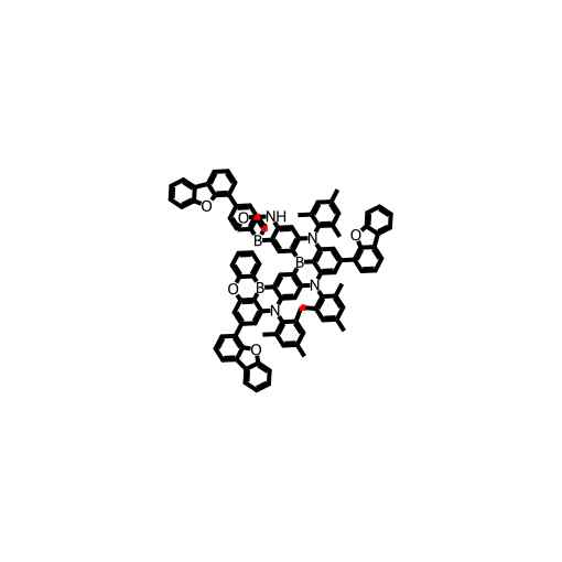 Cc1cc(C)c(N2c3cc4c(cc3B3c5ccccc5Oc5cc(-c6cccc7c6oc6ccccc67)cc2c53)B2c3cc5c(cc3N(c3c(C)cc(C)cc3C)c3cc(-c6cccc7c6oc6ccccc67)cc(c32)N4c2c(C)cc(C)cc2C)Nc2cc(-c3cccc4c3oc3ccccc34)cc3c2B5c2ccccc2O3)c(C)c1